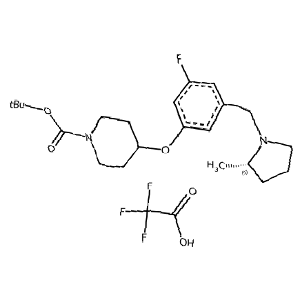 C[C@H]1CCCN1Cc1cc(F)cc(OC2CCN(C(=O)OC(C)(C)C)CC2)c1.O=C(O)C(F)(F)F